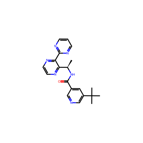 C[C@@H](NC(=O)c1cncc(C(C)(C)C)c1)c1nccnc1-c1ncccn1